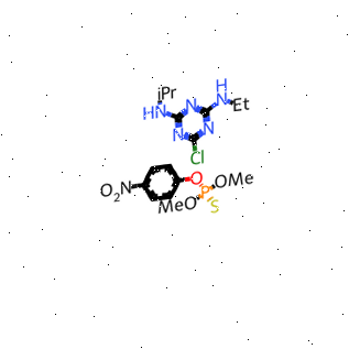 CCNc1nc(Cl)nc(NC(C)C)n1.COP(=S)(OC)Oc1ccc([N+](=O)[O-])cc1